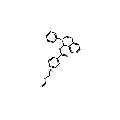 CCOC=O.O=C(NC1c2ccccc2N=CN1c1ccccc1)c1ccccc1